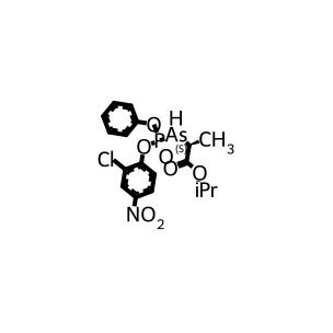 CC(C)OC(=O)[C@H](C)[AsH]P(=O)(Oc1ccccc1)Oc1ccc([N+](=O)[O-])cc1Cl